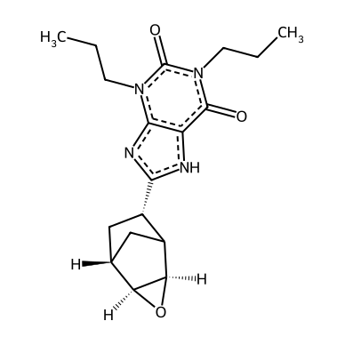 CCCn1c(=O)c2[nH]c([C@H]3C[C@@H]4CC3[C@H]3O[C@@H]43)nc2n(CCC)c1=O